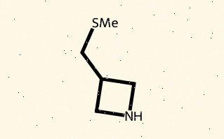 CSCC1CNC1